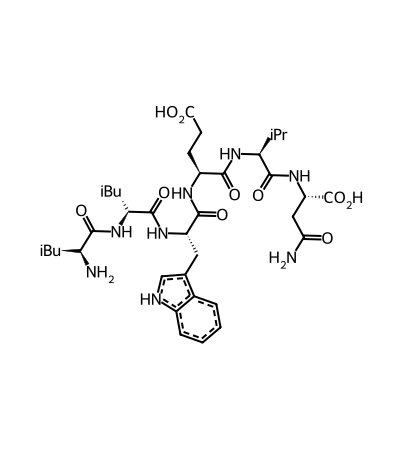 CC[C@H](C)[C@H](N)C(=O)N[C@H](C(=O)N[C@@H](Cc1c[nH]c2ccccc12)C(=O)N[C@@H](CCC(=O)O)C(=O)N[C@H](C(=O)N[C@@H](CC(N)=O)C(=O)O)C(C)C)[C@@H](C)CC